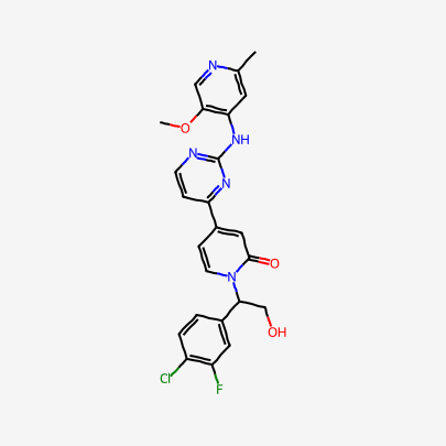 COc1cnc(C)cc1Nc1nccc(-c2ccn(C(CO)c3ccc(Cl)c(F)c3)c(=O)c2)n1